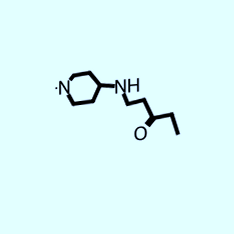 CCC(=O)CCNC1CC[N]CC1